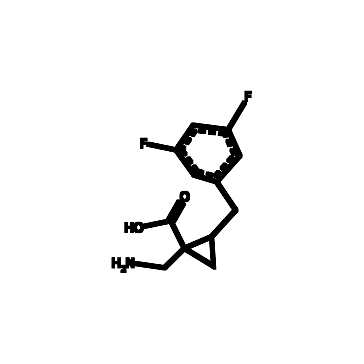 NCC1(C(=O)O)CC1Cc1cc(F)cc(F)c1